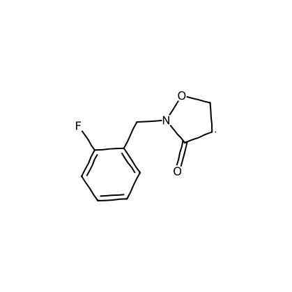 O=C1[CH]CON1Cc1ccccc1F